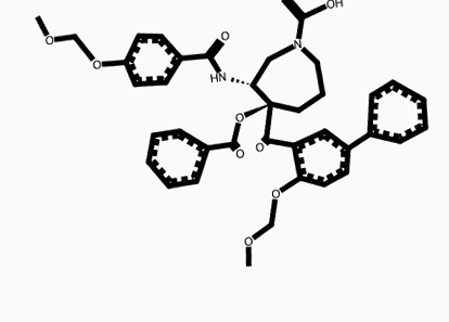 COCOc1ccc(C(=O)N[C@@H]2CN(C(=O)O)CCC[C@]2(OC(=O)c2ccccc2)C(=O)c2cc(-c3ccccc3)ccc2OCOC)cc1